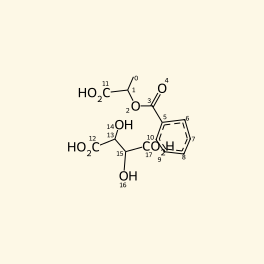 CC(OC(=O)c1ccccc1)C(=O)O.O=C(O)C(O)C(O)C(=O)O